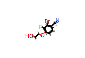 N#Cc1ccc(OCCO)c(F)c1Br